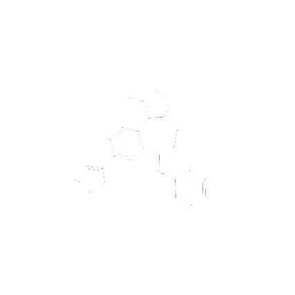 Cc1nnn2c1-c1ccc(-c3cn[nH]c3)cc1C(Nc1ccc(Cl)cc1)CC2